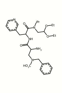 CCOC(CN(C(=O)C(Cc1cccnc1)NC(=O)C(N)CN(Cc1ccccc1)C(=O)O)C(C)C)OCC